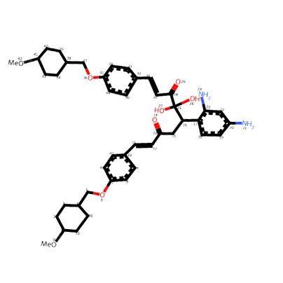 COC1CCC(COc2ccc(C=CC(=O)CC(c3ccc(N)cc3N)C(O)(O)C(=O)C=Cc3ccc(OCC4CCC(OC)CC4)cc3)cc2)CC1